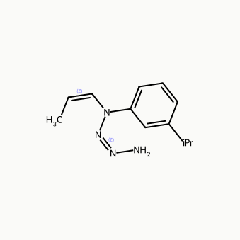 C/C=C\N(/N=N\N)c1cccc(C(C)C)c1